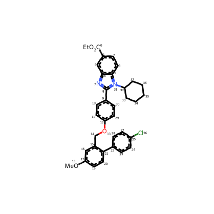 CCOC(=O)c1ccc2c(c1)nc(-c1ccc(OCc3cc(OC)ccc3-c3ccc(Cl)cc3)cc1)n2C1CCCCC1